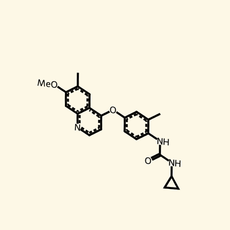 COc1cc2nccc(Oc3ccc(NC(=O)NC4CC4)c(C)c3)c2cc1C